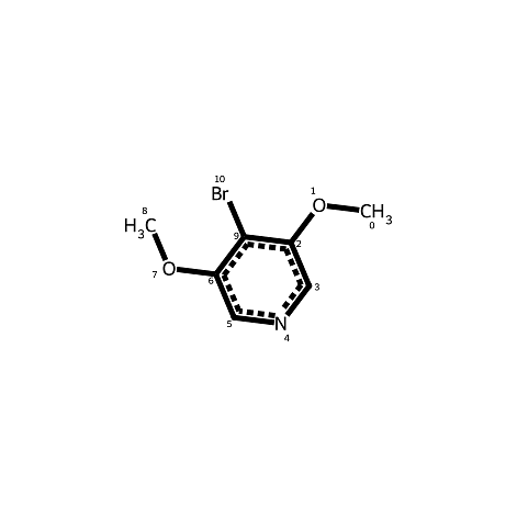 COc1cncc(OC)c1Br